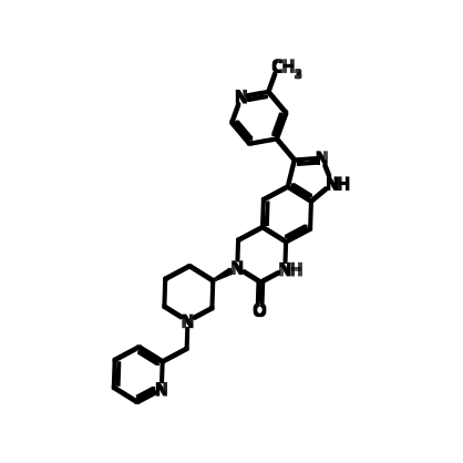 Cc1cc(-c2n[nH]c3cc4c(cc23)CN([C@@H]2CCCN(Cc3ccccn3)C2)C(=O)N4)ccn1